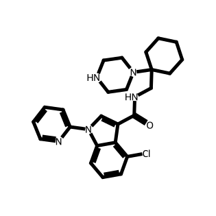 O=C(NCC1(N2CCNCC2)CCCCC1)c1cn(-c2ccccn2)c2cccc(Cl)c12